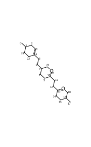 CC1CC=C(CCC2CCC(CCC3CCC(C)CO3)OC2)CC1